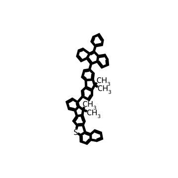 CC1(C)c2ccc(-c3cccc4c3C(C)(C)c3cc5c(cc3-4)sc3ccc4ccccc4c35)cc2-c2ccc(-c3c4ccccc4c(-c4ccccc4)c4ccccc34)cc21